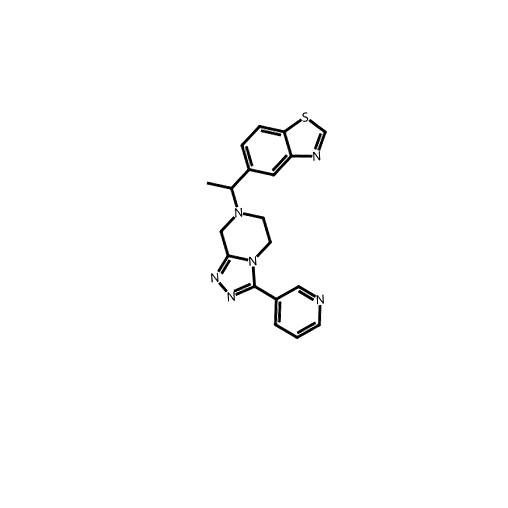 CC(c1ccc2scnc2c1)N1CCn2c(nnc2-c2cccnc2)C1